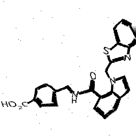 O=C(O)c1ccc(CNC(=O)c2cccc3ccn(Cc4nc5ccccc5s4)c23)cc1